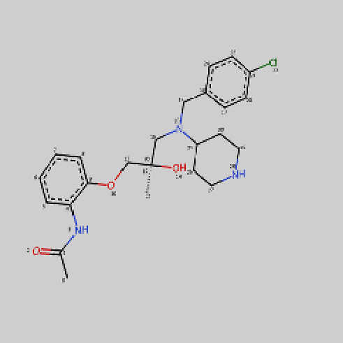 CC(=O)Nc1ccccc1OC[C@](C)(O)CN(Cc1ccc(Cl)cc1)C1CCNCC1